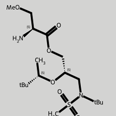 COC[C@H](N)C(=O)OC[C@H](CN(C(C)(C)C)S(C)(=O)=O)O[C@@H](C)C(C)(C)C